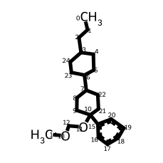 CCCC1CCC(C2CCC(OCOC)(c3ccccc3)CC2)CC1